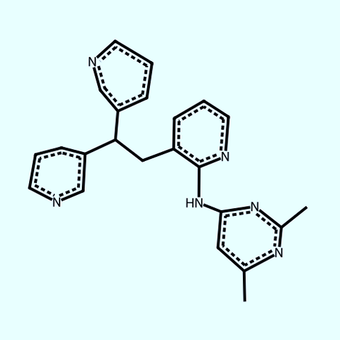 Cc1cc(Nc2ncccc2CC(c2cccnc2)c2cccnc2)nc(C)n1